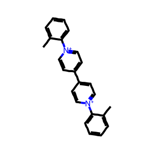 Cc1ccccc1-[n+]1ccc(-c2cc[n+](-c3ccccc3C)cc2)cc1